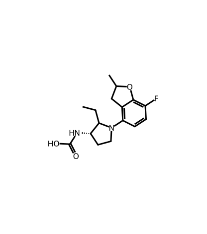 CCC1[C@@H](NC(=O)O)CCN1c1ccc(F)c2c1CC(C)O2